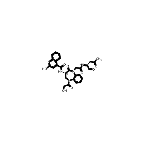 CC(=O)C[C@@H](C=O)NC(=O)CN1C(=O)[C@@H](NC(=O)c2cc(O)nc3ccccc23)CN(C(=O)CO)c2ccccc21